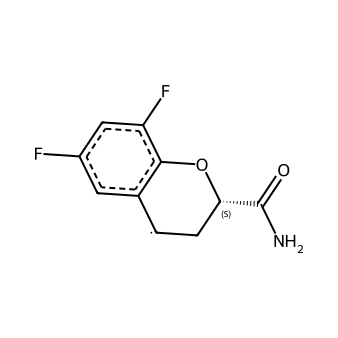 NC(=O)[C@@H]1C[CH]c2cc(F)cc(F)c2O1